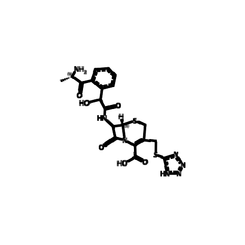 C[C@H](N)C(=O)c1ccccc1C(O)C(=O)NC1C(=O)N2C(C(=O)O)=C(CSc3nnn[nH]3)CS[C@@H]12